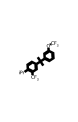 CC(C)c1ccc(C(C)(C)c2cccc(OC(F)(F)F)c2)cc1C(F)(F)F